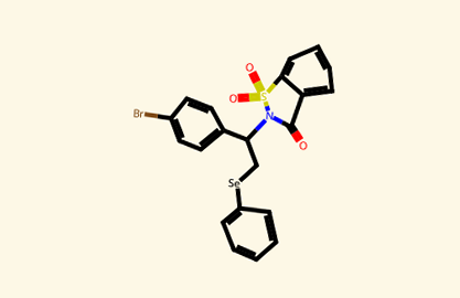 O=C1c2ccccc2S(=O)(=O)N1C(C[Se]c1ccccc1)c1ccc(Br)cc1